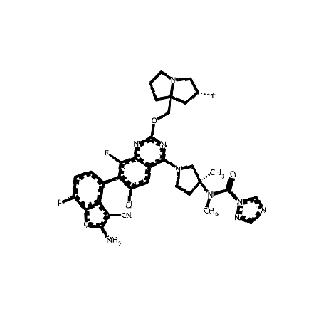 CN(C(=O)n1cncn1)[C@@]1(C)CCN(c2nc(OC[C@@]34CCCN3C[C@H](F)C4)nc3c(F)c(-c4ccc(F)c5sc(N)c(C#N)c45)c(Cl)cc23)C1